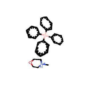 C[NH+]1CCOCC1.c1ccc([B-](c2ccccc2)(c2ccccc2)c2ccccc2)cc1